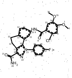 COc1cc(Cl)c(C(=O)Nc2ccc3c(c2)-c2c(c(C(N)=O)nn2-c2ccc(F)cc2)CC3)cc1OC